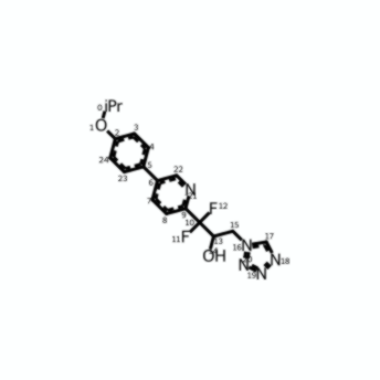 CC(C)Oc1ccc(-c2ccc(C(F)(F)C(O)Cn3cnnn3)nc2)cc1